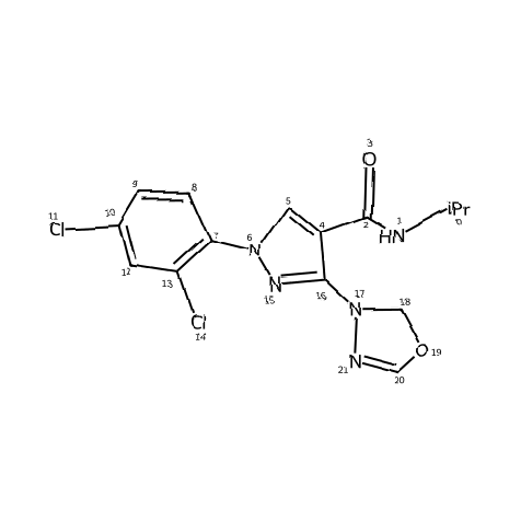 CC(C)NC(=O)c1cn(-c2ccc(Cl)cc2Cl)nc1N1COC=N1